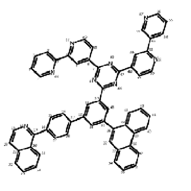 c1ccc(-c2cc(-c3nc(-c4cc(-c5ccc(-c6nccc7ccccc67)cc5)cc(-c5cc6ccccc6c6ccccc56)c4)nc(-c4ccnc(-c5cccnc5)c4)n3)ccn2)nc1